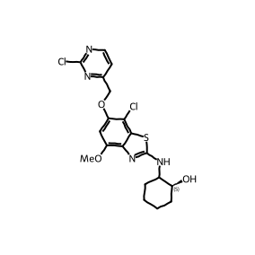 COc1cc(OCc2ccnc(Cl)n2)c(Cl)c2sc(NC3CCCC[C@@H]3O)nc12